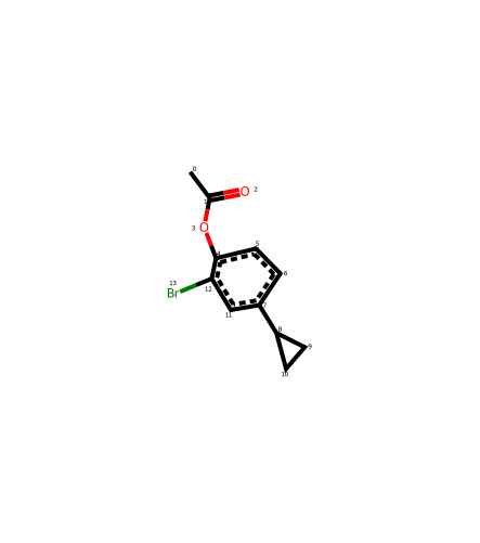 CC(=O)Oc1ccc(C2CC2)cc1Br